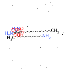 CCCCCCCCCCCCCCCCCN.CCCCCCCCCCCCCCCCCO[C@@H](C(N)=O)[C@@H](O)[C@H](O)[C@H](O)C(N)=O